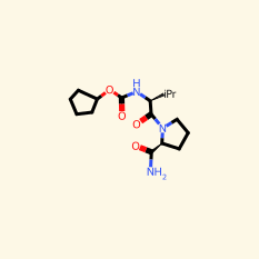 CC(C)[C@H](NC(=O)OC1CCCC1)C(=O)N1CCC[C@H]1C(N)=O